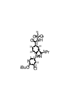 CC(C)COc1ncc(-n2nc(C(C)C)c3cc(C(=O)NS(C)(=O)=O)ccc32)cc1Cl